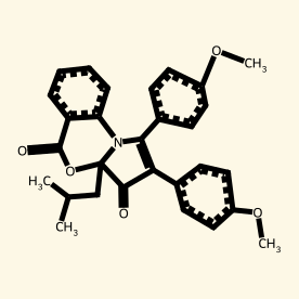 COc1ccc(C2=C(c3ccc(OC)cc3)N3c4ccccc4C(=O)OC3(CC(C)C)C2=O)cc1